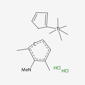 CNc1c(C)cccc1C.Cl.Cl.[CH3][Ti]([CH3])([CH3])([CH3])([CH3])[C]1=CC=CC1